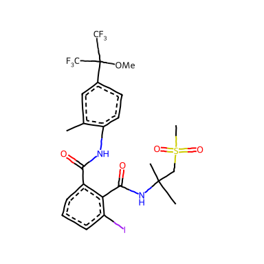 COC(c1ccc(NC(=O)c2cccc(I)c2C(=O)NC(C)(C)CS(C)(=O)=O)c(C)c1)(C(F)(F)F)C(F)(F)F